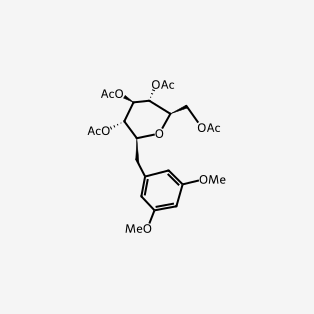 COc1cc(C[C@@H]2O[C@H](COC(C)=O)[C@@H](OC(C)=O)[C@H](OC(C)=O)[C@H]2OC(C)=O)cc(OC)c1